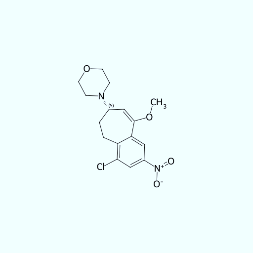 COC1=C[C@@H](N2CCOCC2)CCc2c(Cl)cc([N+](=O)[O-])cc21